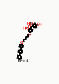 CCCCCC1CCC(c2ccc(-c3ccc(OCCCCCCOc4ccc(C(=O)c5ccc(O)cc5O)c(O)c4)cc3)cc2)CC1